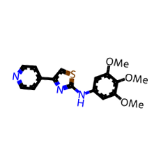 COc1cc(Nc2nc(-c3ccncc3)cs2)cc(OC)c1OC